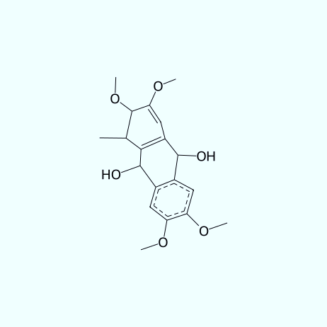 COC1=CC2=C(C(O)c3cc(OC)c(OC)cc3C2O)C(C)C1OC